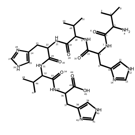 CC(C)C(N)C(=O)NC(Cc1c[nH]cn1)C(=O)NC(C(=O)NC(Cc1c[nH]cn1)C(=O)NC(C(=O)NC(Cc1c[nH]cn1)C(=O)O)C(C)C)C(C)C